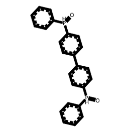 O=[PH](c1ccccc1)c1ccc(-c2ccc([PH](=O)c3ccccc3)cc2)cc1